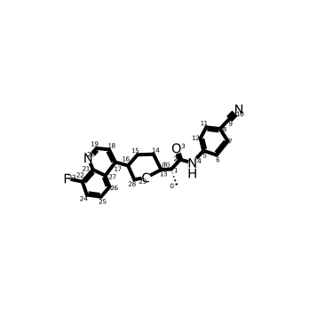 C[C@@H](C(=O)Nc1ccc(C#N)cc1)C1CCC(c2ccnc3c(F)cccc23)CC1